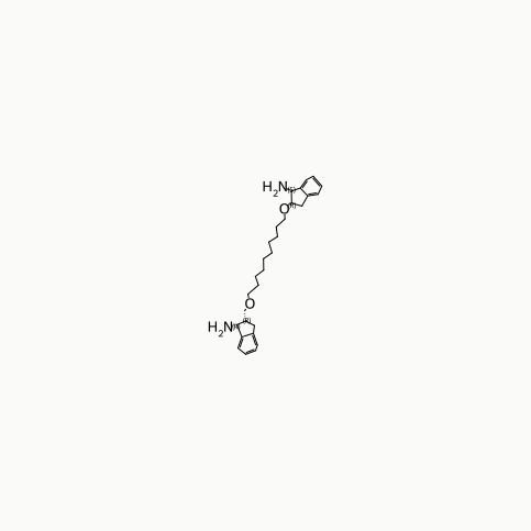 N[C@H]1c2ccccc2C[C@H]1COCCCCCCCCCCO[C@@H]1Cc2ccccc2[C@@H]1N